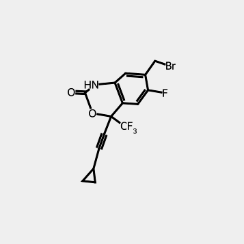 O=C1Nc2cc(CBr)c(F)cc2C(C#CC2CC2)(C(F)(F)F)O1